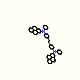 C(=Cc1ccc(N(c2ccccc2)c2cc3ccc4cccc5ccc(c2)c3c45)cc1)c1ccc(N(c2ccccc2)c2cc3ccc4cccc5ccc(c2)c3c45)cc1